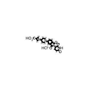 Cl.O=C1CCC(N2C(=O)c3ccc(N4CCC(N5CC(C(=O)O)C5)CC4)cc3C2=O)C(=O)N1